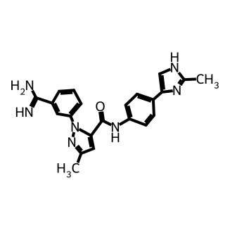 Cc1cc(C(=O)Nc2ccc(-c3c[nH]c(C)n3)cc2)n(-c2cccc(C(=N)N)c2)n1